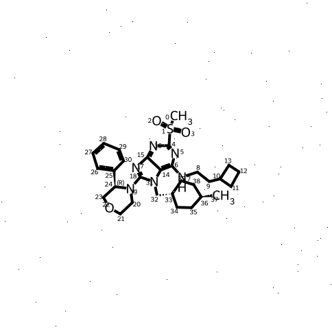 CS(=O)(=O)c1nc(NCCC2CCC2)c2c(n1)nc(N1CCOC[C@H]1c1ccccc1)n2C[C@H]1CC[C@H](C)CC1